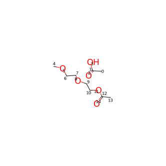 CC(=O)O.COCCOCCOC(C)=O